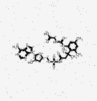 Cc1cc(C)c(C(C)(C)CC(=O)NS(=O)(=O)OC[C@@H]2C[C@@H](O)[C@H](n3cnc4c(N)ncnc43)O2)c(OC(=O)NCC(=O)O)c1